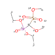 CCOP(=O)(OCC)C(OC)S(=O)(=O)OC